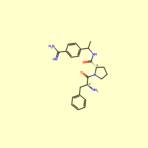 CC(NC(=O)[C@@H]1CCCN1C(=O)[C@@H](N)Cc1ccccc1)c1ccc(C(=N)N)cc1